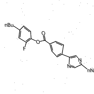 CCCCCCCCCc1cnc(-c2ccc(C(=O)Oc3ccc(CCCC)cc3F)cc2)cn1